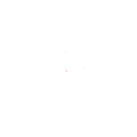 C1=Cc2sc3cc(-n4c5ccccc5c5ccc6c7ccccc7n(-c7ccccc7)c6c54)ccc3c2C(c2ccccc2)C1